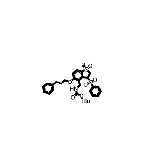 CC(C)(C)OC(=O)NCc1c(OCCCc2ccccc2)ccc2c1C(S(=O)(=O)c1ccccc1)CS2(=O)=O